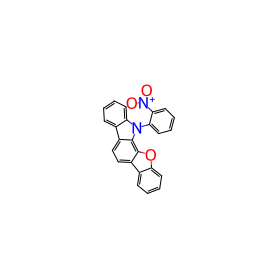 O=[N+]([O-])c1ccccc1-n1c2ccccc2c2ccc3c4ccccc4oc3c21